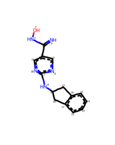 N=C(NO)c1cnc(NC2Cc3ccccc3C2)nc1